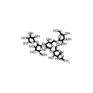 CC[C@@H]1O[C@H](OC2C(O)[C@H](O)[C@H](CO)O[C@@H]2O[C@@H]2C(O)[C@H](O[C@@H]3C(CO)O[C@@H]4OC(C)NC4[C@H]3O)OC(CO[C@H]3OC(CO)[C@@H](O)[C@H](O)C3O)[C@H]2O)C(O)C(O)[C@@H]1O